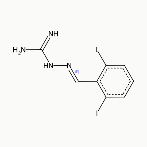 N=C(N)N/N=C/c1c(I)cccc1I